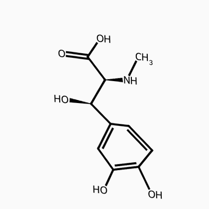 CN[C@H](C(=O)O)[C@H](O)c1ccc(O)c(O)c1